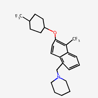 FC(F)(F)c1c(OC2CCC(C(F)(F)F)CC2)ccc2c(CN3CCCCC3)cccc12